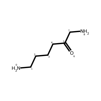 NCCCCC(=O)CN